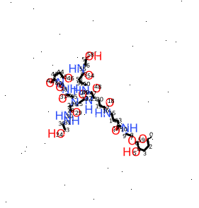 C[C@H]1CC[C@H](O)[C@H](OCCNC(=O)CCCNC(=O)CC[C@H](NC(=O)CN(CC(=O)NNCCO)CC(=O)NON2C(=O)CCC2=O)C(=O)NCCCC(=O)NCCO)O1